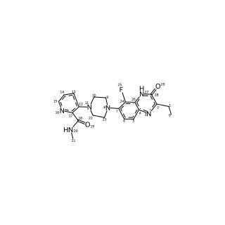 CCc1nc2ccc(N3CCN(c4cccnc4C(=O)NC)CC3)c(F)c2[nH]c1=O